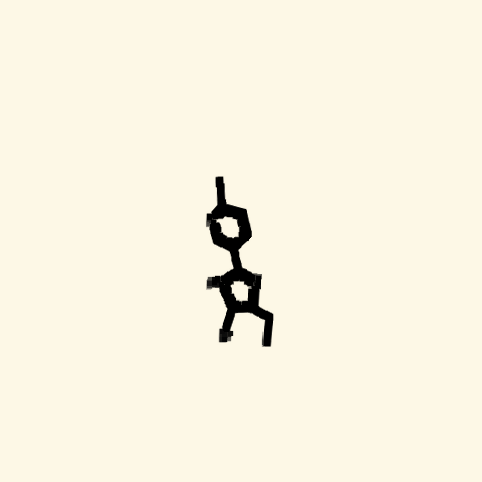 CCc1nc(-c2ccc(C)nc2)[nH]c1Br